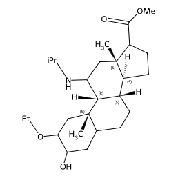 CCOC1C[C@@]2(C)C(CC[C@@H]3[C@H]2C(NC(C)C)C[C@]2(C)C(C(=O)OC)CC[C@@H]32)CC1O